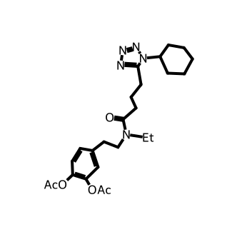 CCN(CCc1ccc(OC(C)=O)c(OC(C)=O)c1)C(=O)CCCc1nnnn1C1CCCCC1